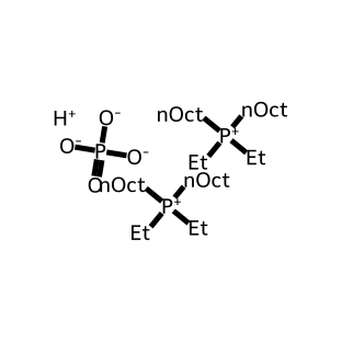 CCCCCCCC[P+](CC)(CC)CCCCCCCC.CCCCCCCC[P+](CC)(CC)CCCCCCCC.O=P([O-])([O-])[O-].[H+]